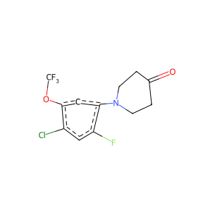 O=C1CCN(c2cc(OC(F)(F)F)c(Cl)cc2F)CC1